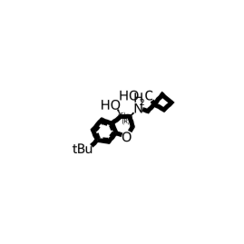 CC(C)(C)c1ccc2c(c1)OC[C@@H](NCC1(C(=O)O)CCC1)[C@H]2O